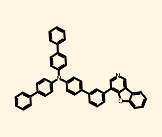 c1ccc(-c2ccc(N(c3ccc(-c4ccccc4)cc3)c3ccc(-c4cccc(-c5cncc6c5oc5ccccc56)c4)cc3)cc2)cc1